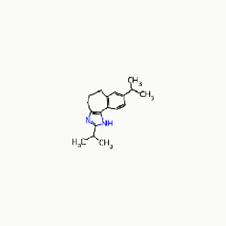 CC(C)c1ccc2c(c1)CCCc1nc(C(C)C)[nH]c1-2